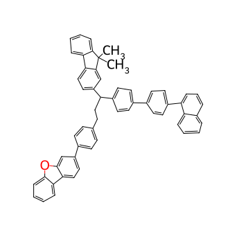 CC1(C)c2ccccc2-c2ccc(C(CCc3ccc(-c4ccc5c(c4)oc4ccccc45)cc3)c3ccc(-c4ccc(-c5cccc6ccccc56)cc4)cc3)cc21